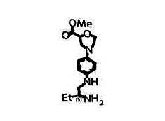 CC[C@H](N)CNc1ccc(N2CCOC(C(=O)OC)C2)cc1